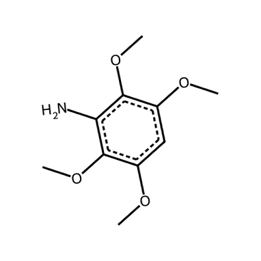 COc1cc(OC)c(OC)c(N)c1OC